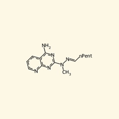 CCCCCC=NN(C)c1nc(N)c2cccnc2n1